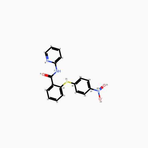 O=C(Nc1ccccn1)c1ccccc1Sc1ccc([N+](=O)[O-])cc1